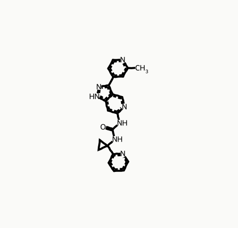 Cc1cc(-c2n[nH]c3cc(NC(=O)NC4(c5ccccn5)CC4)ncc23)ccn1